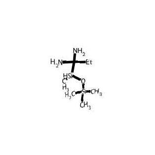 CCC(N)(N)[SiH](C)O[Si](C)(C)C